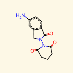 Nc1ccc2c(c1)CN(N1C(=O)CCCC1=O)C2=O